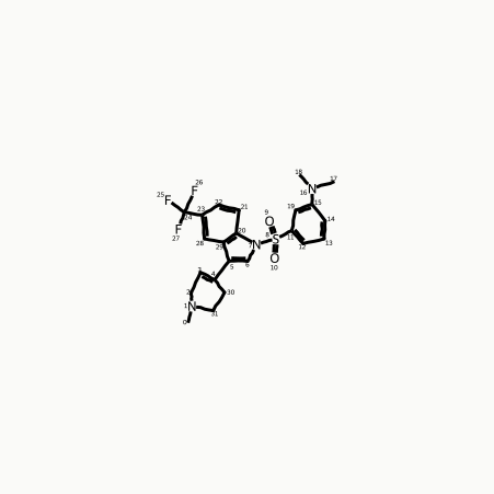 CN1CC=C(c2cn(S(=O)(=O)c3cccc(N(C)C)c3)c3ccc(C(F)(F)F)cc23)CC1